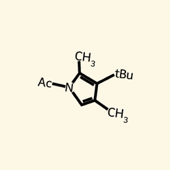 CC(=O)n1cc(C)c(C(C)(C)C)c1C